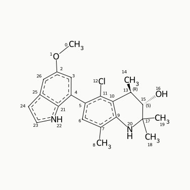 COc1cc(-c2cc(C)c3c(c2Cl)[C@@H](C)[C@H](O)C(C)(C)N3)c2[nH]ccc2c1